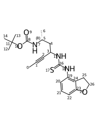 CC#CC(C[C@@H](C)NC(=O)OC(C)(C)C)NC(=S)Nc1cccc2c1CCO2